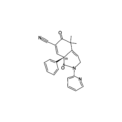 CC1(C)C(=O)C(C#N)=C[C@@]2(c3ccccc3)C(=O)N(c3ccccn3)CC=C12